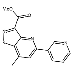 COC(=O)c1nsc2c(C)cc(-c3cccnc3)nc12